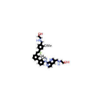 COc1cc(C(F)=Cc2cccc(-c3cccc(Nc4nccc5cc(CNCCO)cnc45)c3C)c2C)ccc1CNCCO